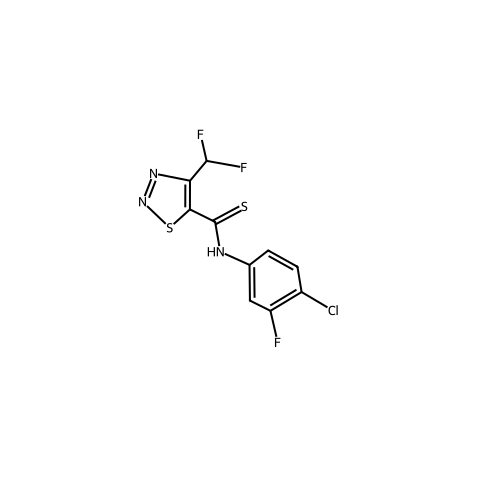 Fc1cc(NC(=S)c2snnc2C(F)F)ccc1Cl